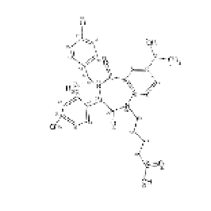 CC(O)c1ccc2c(c1)C(=O)N([C@H](C)c1ccc(Cl)cc1)C(c1ccc(Cl)cc1)C(=O)N2CCCCC(=O)O